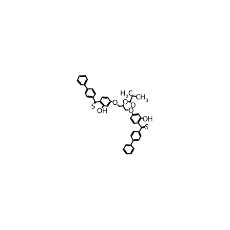 C=C(C)C(=O)OC(COc1ccc(C(=S)c2ccc(-c3ccccc3)cc2)c(O)c1)COc1ccc(C(=S)c2ccc(-c3ccccc3)cc2)c(O)c1